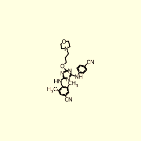 Cc1cc(C#N)cc(C)c1Nc1nc(Nc2ccc(C#N)cc2)nc(OCCCN2CCOCC2)n1